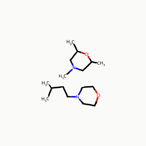 CC(C)CCN1CCOCC1.CC1CN(C)CC(C)O1